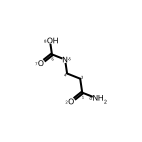 NC(=O)CC[N]C(=O)O